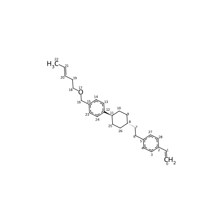 C=Cc1ccc(CC[C@H]2CC[C@H](c3ccc(COCC/C=C/C)cc3)CC2)cc1